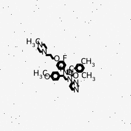 COc1ccc(C(CN(C(=O)Oc2c(C)cc(C)cc2C)c2ccncn2)Nc2ccc(OCCCN3CCN(C)CC3)c(F)c2)cc1